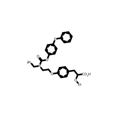 CCOC(Cc1ccc(OCCN(CC(C)C)C(=O)Oc2ccc(Oc3ccccc3)cc2)cc1)C(=O)O